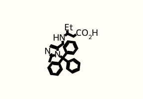 CCC(CC(=O)O)NCc1cnc(C)n1C(c1ccccc1)(c1ccccc1)c1ccccc1